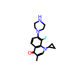 Cc1cn(C2CC2)c2c(F)c(N3CCNCC3)ccc2c1=O